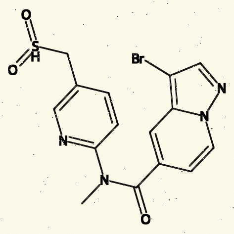 CN(C(=O)c1ccn2ncc(Br)c2c1)c1ccc(C[SH](=O)=O)cn1